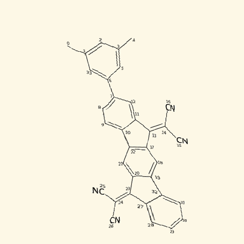 Cc1cc(C)cc(-c2ccc3c(c2)C(=C(C#N)C#N)c2cc4c(cc2-3)C(=C(C#N)C#N)c2ccccc2-4)c1